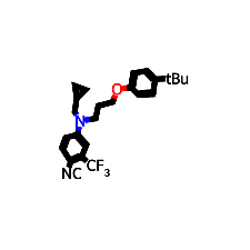 [C-]#[N+]c1ccc(N(CCCOc2ccc(C(C)(C)C)cc2)CC2CC2)cc1C(F)(F)F